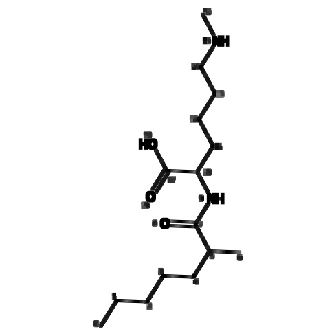 CCCCCC(C)C(=O)NC(CCCCNC)C(=O)O